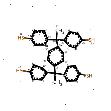 CC(c1ccc(S)cc1)(c1ccc(S)cc1)c1ccc(C(C)(c2ccc(S)cc2)c2ccc(S)cc2)cc1